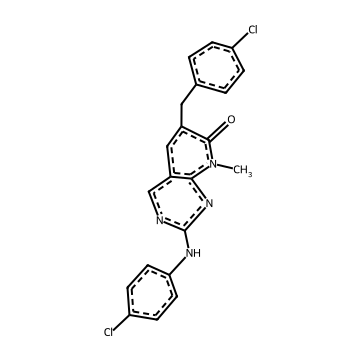 Cn1c(=O)c(Cc2ccc(Cl)cc2)cc2cnc(Nc3ccc(Cl)cc3)nc21